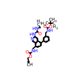 C#CCOC(=O)NCc1ccc(-c2cccc(CNC(=O)OC(C)(C)C)c2)c2cc(NC(=O)NCC)ncc12